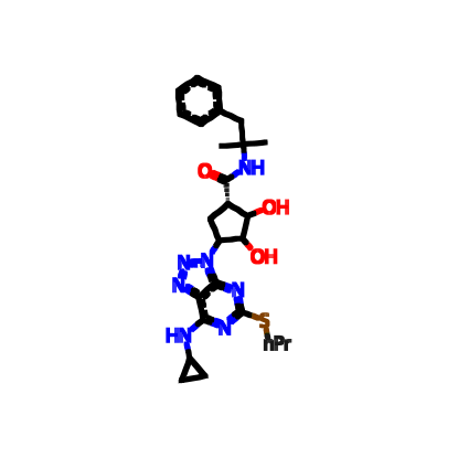 CCCSc1nc(NC2CC2)c2nnn(C3C[C@H](C(=O)NC(C)(C)Cc4ccccc4)C(O)C3O)c2n1